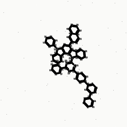 c1ccc(-c2cccc(-c3ccc(-c4nc(-c5ccccc5)nc(-n5c6ccccc6c6c(-c7ccc8ccccc8c7)cc7c(c8ccccc8n7-c7ccccc7)c65)n4)cc3)c2)cc1